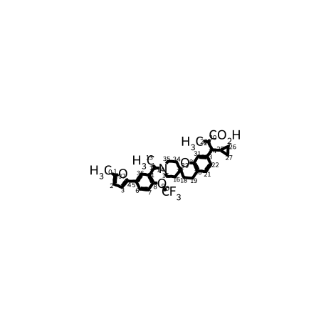 Cc1ccc(-c2ccc(OC(F)(F)F)c(C(C)N3CCC4(CCc5ccc(C(C6CC6)C(C)C(=O)O)cc5O4)CC3)c2)o1